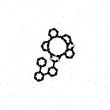 c1ccc(-c2ccccc2-c2cccc(-c3nc4nc(n3)c3cccc5oc6ccc(cc6c53)c3ccccc3c3cccc4c3)c2)cc1